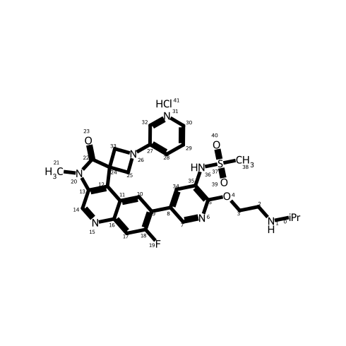 CC(C)NCCOc1ncc(-c2cc3c4c(cnc3cc2F)N(C)C(=O)C42CN(c3cccnc3)C2)cc1NS(C)(=O)=O.Cl